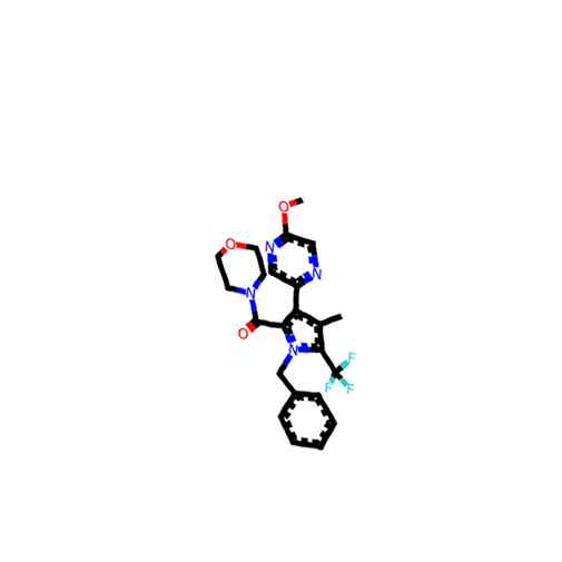 COc1cnc(-c2c(C)c(C(F)(F)F)n(Cc3ccccc3)c2C(=O)N2CCOCC2)cn1